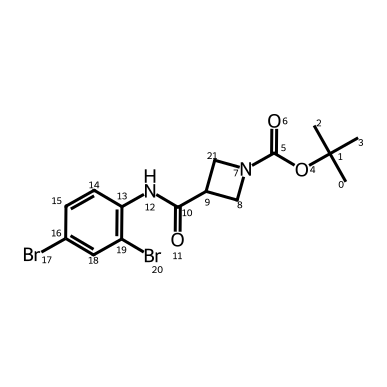 CC(C)(C)OC(=O)N1CC(C(=O)Nc2ccc(Br)cc2Br)C1